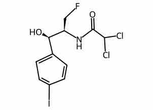 O=C(N[C@H](CF)[C@H](O)c1ccc(I)cc1)C(Cl)Cl